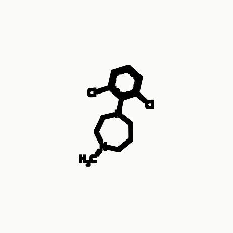 CN1CCCN(c2c(Cl)cccc2Cl)CC1